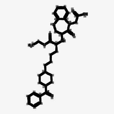 CCOC(=O)[C@H](CCCCC1CCN(C(=O)c2ccccc2)CC1)NC1COc2ccccc2N(CC(=O)O)C1=O